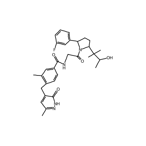 Cc1cc(Cc2ccc(C(=O)NCC(=O)N3C(c4cccc(F)c4)CCC3C(C)(C)C(C)O)cc2C)c(=O)[nH]n1